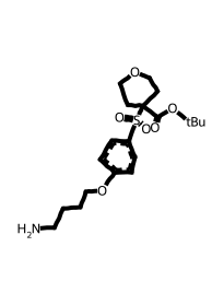 CC(C)(C)OC(=O)C1(S(=O)(=O)c2ccc(OCCCCN)cc2)CCOCC1